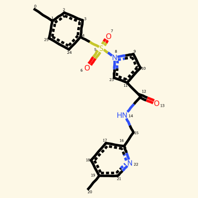 Cc1ccc(S(=O)(=O)n2ccc(C(=O)NCc3ccc(C)cn3)c2)cc1